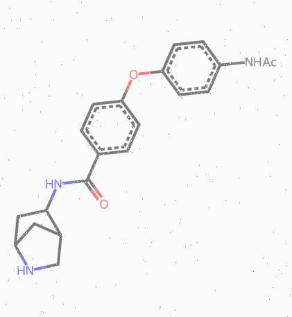 CC(=O)Nc1ccc(Oc2ccc(C(=O)NC3CC4CC3CN4)cc2)cc1